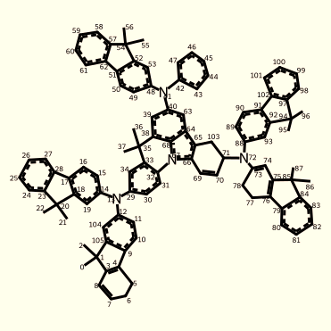 CC1(C)C2=C(CCC=C2)c2ccc(N(c3ccc4c(c3)C(C)(C)c3ccccc3-4)c3ccc4c(c3)C(C)(C)c3cc(N(c5ccccc5)c5ccc6c(c5)C(C)(C)c5ccccc5-6)cc5c6c(n-4c35)C=CC(N(C3=CC4=C(CC3)c3ccccc3C4(C)C)c3ccc4c(c3)C(C)(C)c3ccccc3-4)C6)cc21